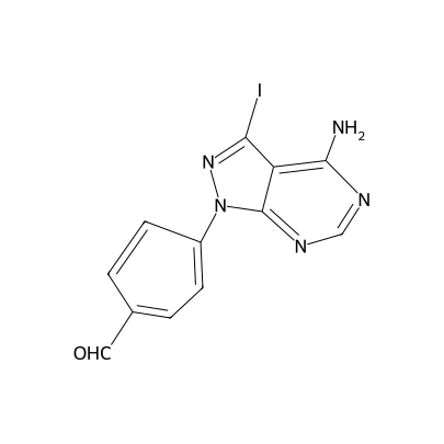 Nc1ncnc2c1c(I)nn2-c1ccc(C=O)cc1